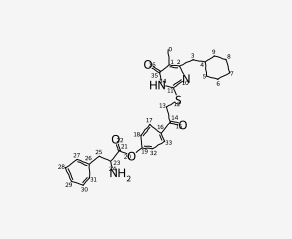 Cc1c(CC2CCCCC2)nc(SCC(=O)c2ccc(OC(=O)C(N)Cc3ccccc3)cc2)[nH]c1=O